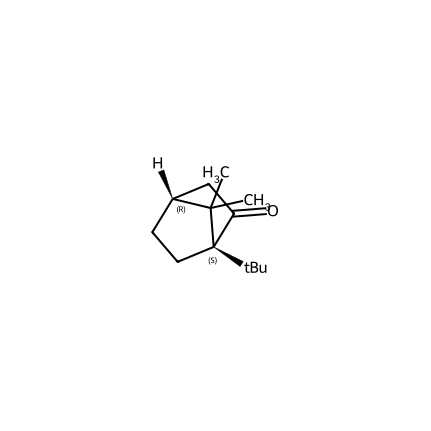 CC(C)(C)[C@]12CC[C@H](CC1=O)C2(C)C